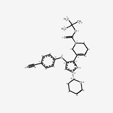 CC(C)(C)OC(=O)N1CCC=C(c2nn([C@H]3CCCCO3)cc2Oc2ccc(C#N)cc2)C1